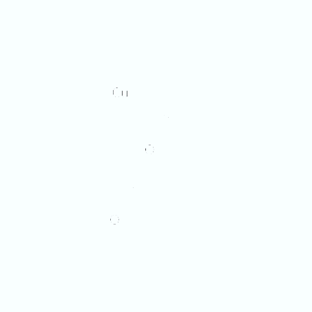 CC(C)=O.CC(C)=O.[Cu]